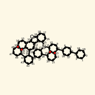 c1ccc(-c2ccc(-c3ccc(N(c4ccccc4-c4ccccc4)c4cccc5oc6c7ccccc7c(-c7ccccc7-c7ccccc7)cc6c45)cc3)cc2)cc1